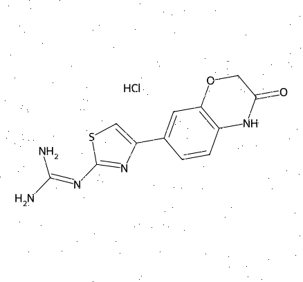 Cl.NC(N)=Nc1nc(-c2ccc3c(c2)OCC(=O)N3)cs1